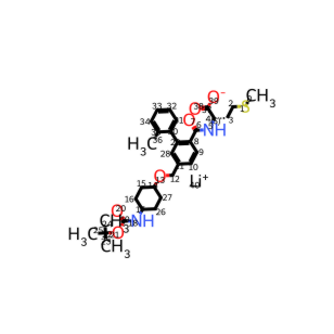 CSCC[C@H](NC(=O)c1ccc(COC2CCC(NC(=O)OC(C)(C)C)CC2)cc1-c1ccccc1C)C(=O)[O-].[Li+]